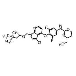 C[Si](C)(C)CCOCn1cc(Cl)c2c(Oc3c(F)cc(NC4=N[C@@H](CO)CCO4)cc3F)ccnc21